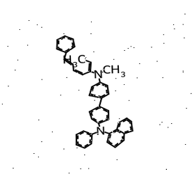 C\C=C(/C=C\C=C\c1ccccc1)N(C)c1ccc(-c2ccc(N(c3ccccc3)c3cccc4ccccc34)cc2)cc1